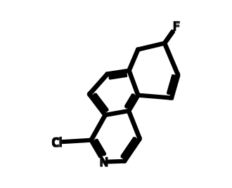 FC1C=Cc2c(ccc3c(Cl)nccc23)C1